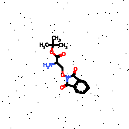 CC(C)(C)OC(=O)C(N)CON1C(=O)c2ccccc2C1=O